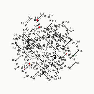 c1ccc([Si](c2ccccc2)(c2ccccc2)[CH]([Cr]([CH]([Si](c2ccccc2)(c2ccccc2)c2ccccc2)[Si](c2ccccc2)(c2ccccc2)c2ccccc2)[CH]([Si](c2ccccc2)(c2ccccc2)c2ccccc2)[Si](c2ccccc2)(c2ccccc2)c2ccccc2)[Si](c2ccccc2)(c2ccccc2)c2ccccc2)cc1